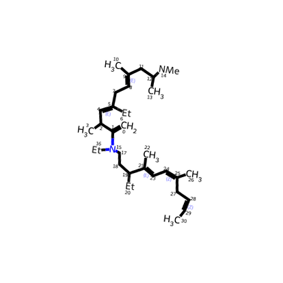 C=C(C(C)/C=C(\CC)C/C=C(\C)CC(C)NC)N(CC)CCC(CC)/C(C)=C/C=C(/C)C/C=C\C